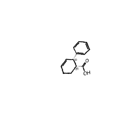 O=C(O)[C@@H]1CCC=C[C@@H]1c1ccccc1